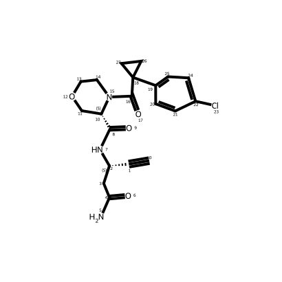 C#C[C@H](CC(N)=O)NC(=O)[C@@H]1COCCN1C(=O)C1(c2ccc(Cl)cc2)CC1